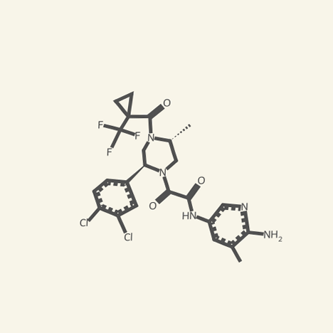 Cc1cc(NC(=O)C(=O)N2C[C@@H](C)N(C(=O)C3(C(F)(F)F)CC3)C[C@@H]2c2ccc(Cl)c(Cl)c2)cnc1N